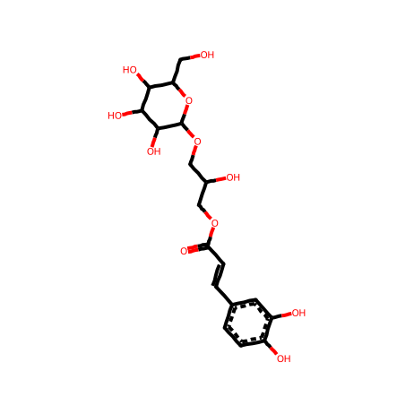 O=C(C=Cc1ccc(O)c(O)c1)OCC(O)COC1OC(CO)C(O)C(O)C1O